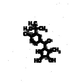 CN1C(C(=O)c2cc(C(C)(C)C)c(Cl)nn2)NC(O)C1O